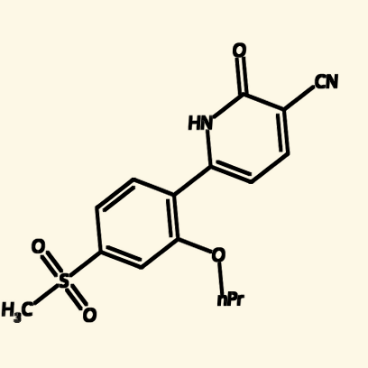 CCCOc1cc(S(C)(=O)=O)ccc1-c1ccc(C#N)c(=O)[nH]1